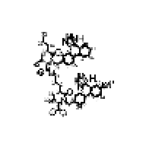 CCCCC(=O)N(Cc1ccc(-c2ccccc2-c2nnn[nH]2)cc1)[C@H](C(=O)[O-])C(C)C.CCCCC(=O)N(Cc1ccc(-c2ccccc2-c2nnn[nH]2)cc1)[C@H](C(=O)[O-])C(C)C.[K+].[K+]